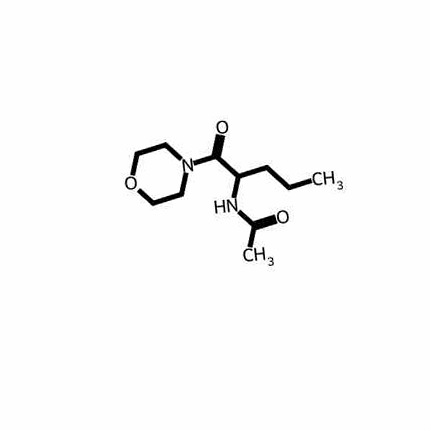 CCCC(NC(C)=O)C(=O)N1CCOCC1